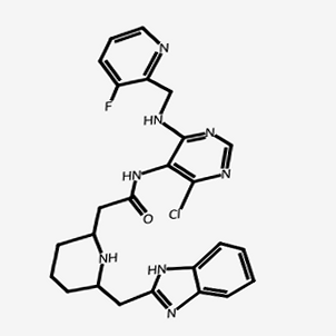 O=C(CC1CCCC(Cc2nc3ccccc3[nH]2)N1)Nc1c(Cl)ncnc1NCc1ncccc1F